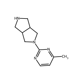 Cc1ccnc(N2CC3CNCC3C2)n1